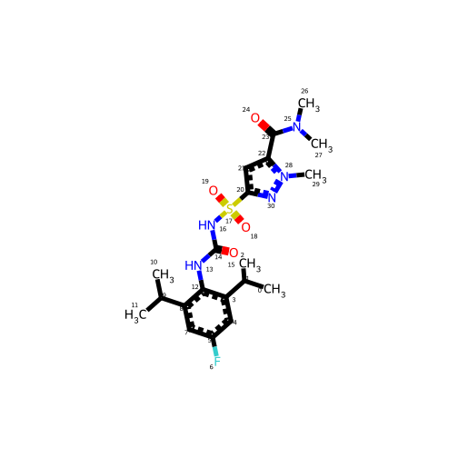 CC(C)c1cc(F)cc(C(C)C)c1NC(=O)NS(=O)(=O)c1cc(C(=O)N(C)C)n(C)n1